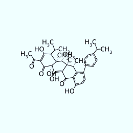 CC(=O)C1=C(O)C(C(C)C)[C@@]2(C)[C@H](O)[C@]3(C)C(=C(O)[C@@]2(O)C1=O)C(=O)c1c(O)ccc(-c2ccc(C(C)C)cc2)c1[C@H]3C